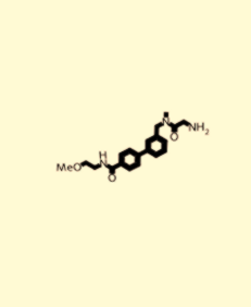 COCCNC(=O)c1ccc(-c2cccc(CN(C)C(=O)CN)c2)cc1